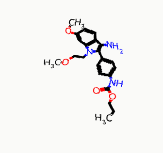 CCCOC(=O)Nc1ccc(-c2c(N)c3ccc(OC)cc3n2CCOC)cc1